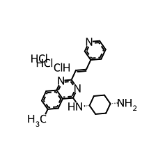 Cc1ccc2nc(C=Cc3cccnc3)nc(N[C@H]3CC[C@@H](N)CC3)c2c1.Cl.Cl.Cl